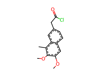 COc1cc2ccc(CC(=O)Cl)cc2c(C)c1OC